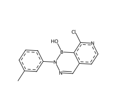 Cc1cccc(N2N=Cc3ccnc(Cl)c3B2O)c1